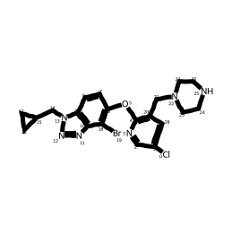 Clc1cnc(Oc2ccc3c(nnn3CC3CC3)c2Br)c(CN2CCNCC2)c1